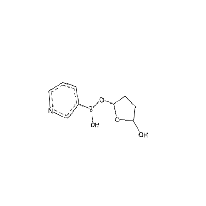 OB(OC1CCC(O)O1)c1cccnc1